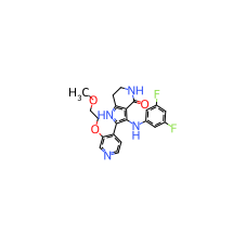 COCCOc1cnccc1-c1[nH]c2c(c1Nc1cc(F)cc(F)c1)C(=O)NCC2